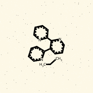 CCC.c1ccc(-c2cccnc2-c2ccccn2)nc1